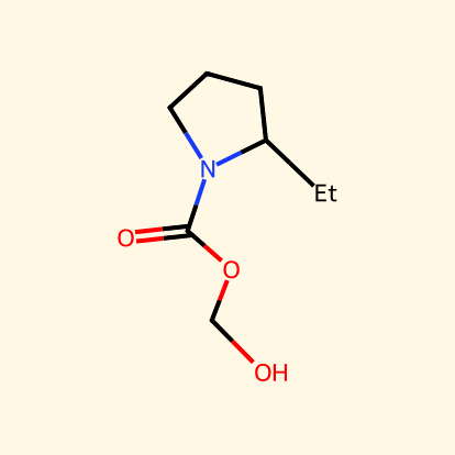 CCC1CCCN1C(=O)OCO